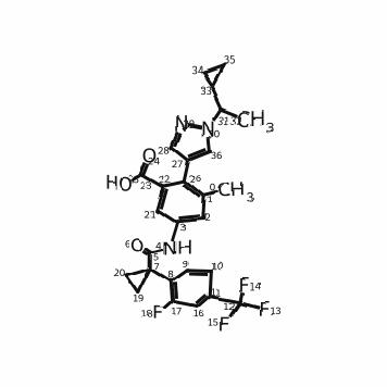 Cc1cc(NC(=O)C2(c3ccc(C(F)(F)F)cc3F)CC2)cc(C(=O)O)c1-c1cnn(C(C)C2CC2)c1